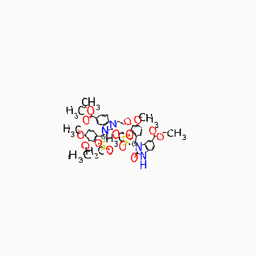 CCOC(=O)c1ccc2[nH]c(=O)n([C@H](CS(C)(=O)=O)c3ccc(OC)c(OCCn4c(=O)n([C@H](CS(C)(=O)=O)c5ccc(OC)c(OCC)c5)c5cc(C(=O)OC(C)C)ccc54)c3)c2c1